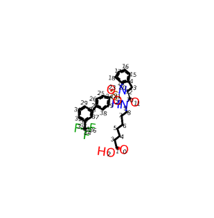 O=C(O)CCCCCCNC(=O)[C@@H]1Cc2ccccc2N1S(=O)(=O)c1ccc(-c2cccc(C(F)(F)F)c2)cc1